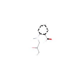 CN(CC(O)CCl)c1ccccc1C(=O)O